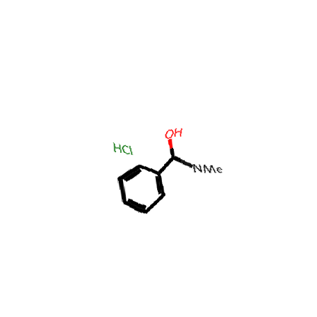 CNC(O)c1ccccc1.Cl